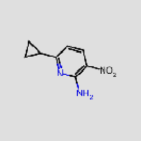 Nc1nc(C2CC2)ccc1[N+](=O)[O-]